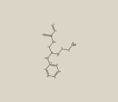 C=CC(=O)OCC(OCCO)Oc1ccccc1